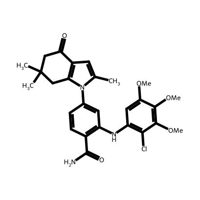 COc1cc(Nc2cc(-n3c(C)cc4c3CC(C)(C)CC4=O)ccc2C(N)=O)c(Cl)c(OC)c1OC